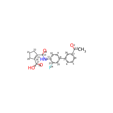 CC(=O)c1cccc(-c2ccc(NC(=O)C3=C(C(=O)O)CCC3)c(F)c2)c1